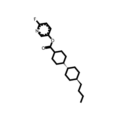 CCCC[C@H]1CC[C@H](C2CCC(C(=O)Oc3ccc(F)nc3)CC2)CC1